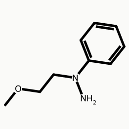 COCCN(N)c1ccccc1